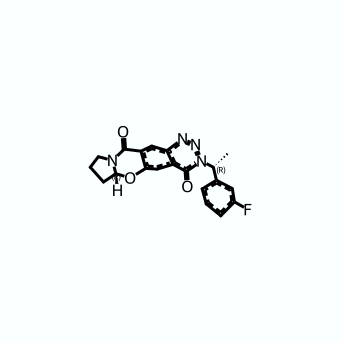 C[C@H](c1cccc(F)c1)n1nnc2cc3c(cc2c1=O)O[C@@H]1CCCN1C3=O